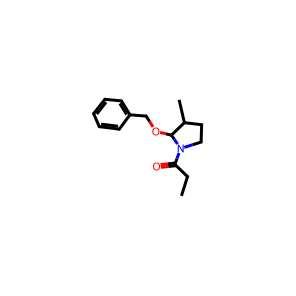 CCC(=O)N1CCC(C)C1OCc1ccccc1